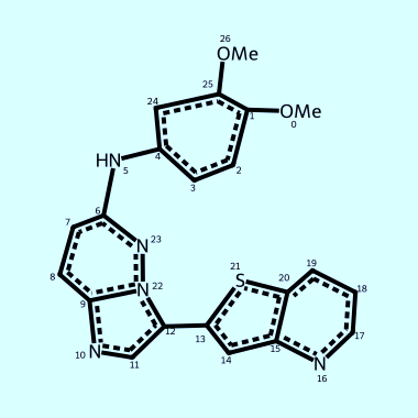 COc1ccc(Nc2ccc3ncc(-c4cc5ncccc5s4)n3n2)cc1OC